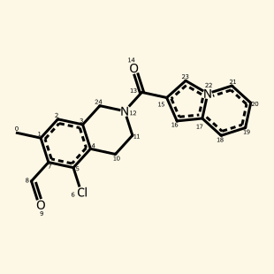 Cc1cc2c(c(Cl)c1C=O)CCN(C(=O)c1cc3ccccn3c1)C2